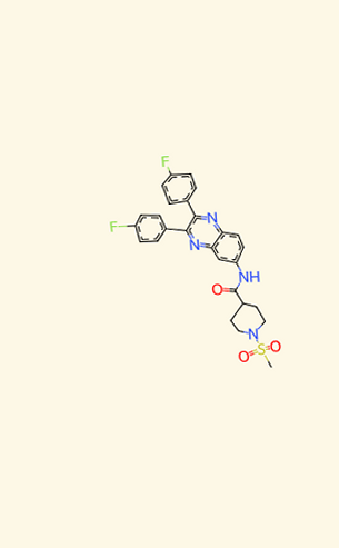 CS(=O)(=O)N1CCC(C(=O)Nc2ccc3nc(-c4ccc(F)cc4)c(-c4ccc(F)cc4)nc3c2)CC1